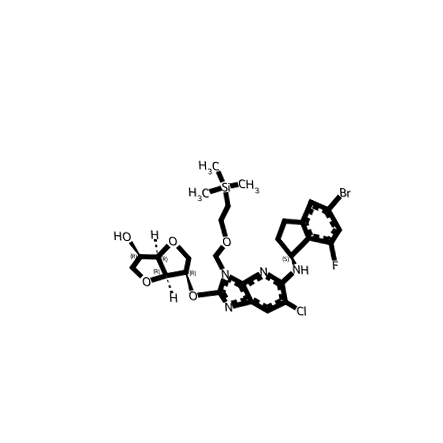 C[Si](C)(C)CCOCn1c(O[C@@H]2CO[C@H]3[C@@H]2OC[C@H]3O)nc2cc(Cl)c(N[C@H]3CCc4cc(Br)cc(F)c43)nc21